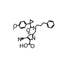 COc1ccc(C2(C(=O)N(CCCc3ccccc3)Cc3nc(C(=O)O)c(C#N)s3)CC2)cc1